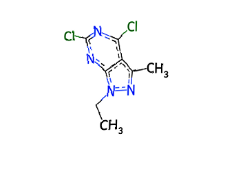 CCn1nc(C)c2c(Cl)nc(Cl)nc21